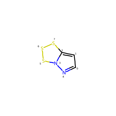 c1cc2n(n1)SSS2